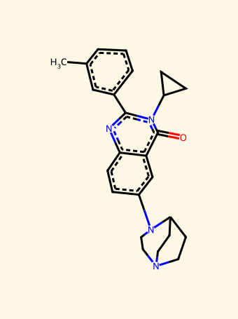 Cc1cccc(-c2nc3ccc(N4CCN5CCC4CC5)cc3c(=O)n2C2CC2)c1